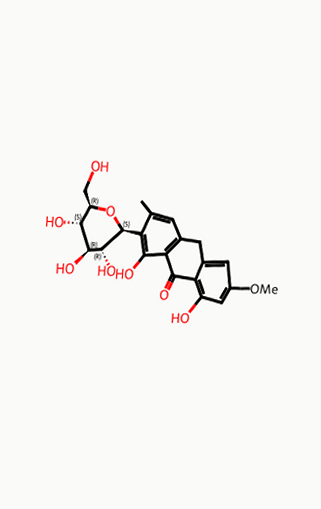 COc1cc(O)c2c(c1)Cc1cc(C)c([C@@H]3O[C@H](CO)[C@@H](O)[C@H](O)[C@H]3O)c(O)c1C2=O